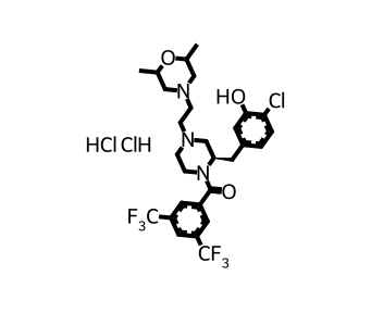 CC1CN(CCN2CCN(C(=O)c3cc(C(F)(F)F)cc(C(F)(F)F)c3)[C@H](Cc3ccc(Cl)c(O)c3)C2)CC(C)O1.Cl.Cl